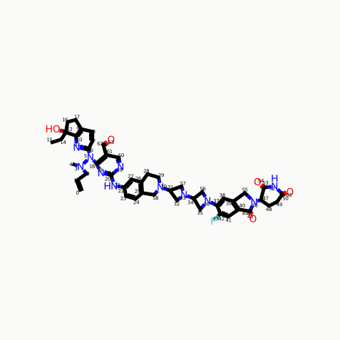 C=CCN(C)N(c1ccc2c(n1)C(O)(CC)CC2)c1nc(Nc2ccc3c(c2)CCN(C2CN(C4CN(c5cc6c(cc5F)C(=O)N(C5CCC(=O)NC5=O)C6)C4)C2)C3)ncc1C=O